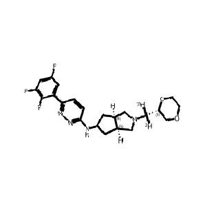 [2H]C([2H])([C@H]1COCCO1)N1C[C@H]2CC(Nc3ccc(-c4cc(F)cc(F)c4F)nn3)C[C@H]2C1